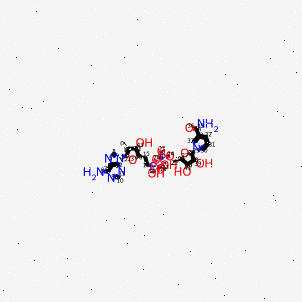 C[C@H]1C(n2cnc3c(N)ncnc32)O[C@H](CCP(=O)(O)OP(=O)(O)OC[C@H]2O[C@@H]([n+]3cccc(C(N)=O)c3)[C@H](O)[C@@H]2O)[C@H]1O